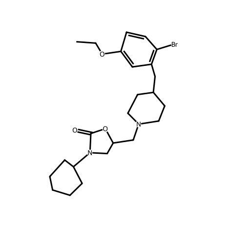 CCOc1ccc(Br)c(CC2CCN(CC3CN(C4CCCCC4)C(=O)O3)CC2)c1